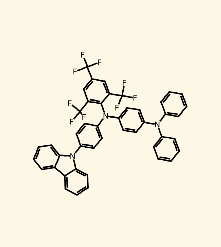 FC(F)(F)c1cc(C(F)(F)F)c(N(c2ccc(N(c3ccccc3)c3ccccc3)cc2)c2ccc(-n3c4ccccc4c4ccccc43)cc2)c(C(F)(F)F)c1